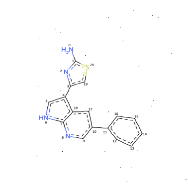 Nc1nc(-c2c[nH]c3ncc(-c4ccccc4)cc23)cs1